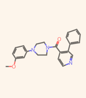 COc1cccc(N2CCN(C(=O)c3ccncc3-c3ccccc3)CC2)c1